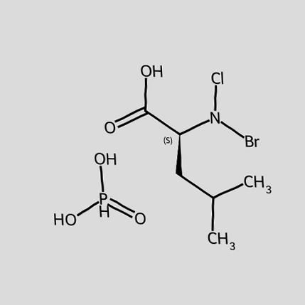 CC(C)C[C@@H](C(=O)O)N(Cl)Br.O=[PH](O)O